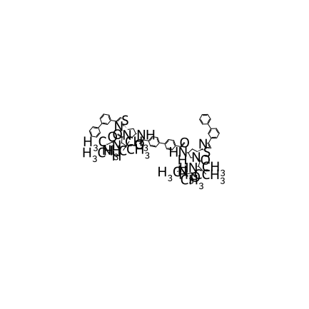 CN[C@@H](C)C(=O)N[C@H](C(=O)N1C[C@@H](NC(=O)c2ccc(-c3ccc(C(=O)N[C@H]4C[C@@H](c5nc(-c6cccc(-c7ccccc7)c6)cs5)N(C(=O)[C@@H](NC(=O)[C@H](C)NC)C(C)(C)C)C4)cc3)cc2)C[C@H]1c1nc(-c2cccc(-c3ccccc3)c2)cs1)C(C)(C)C